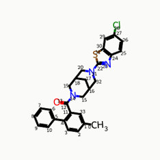 Cc1ccc(-c2ccccc2)c(C(=O)N2CC3CC(C2)CN(c2nc4ccc(Cl)cc4s2)C3)c1